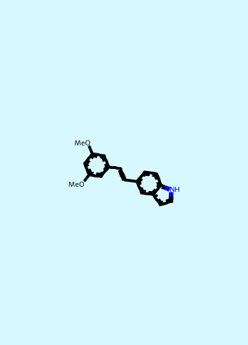 COc1cc(C=Cc2ccc3[nH]ccc3c2)cc(OC)c1